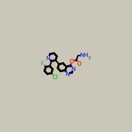 NCC(=O)Oc1ncnc2ccc(-c3cccnc3-c3cc(Cl)ccc3F)cc12